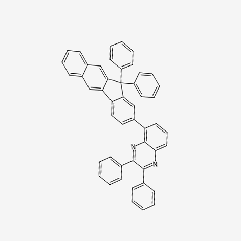 c1ccc(-c2nc3cccc(-c4ccc5c(c4)C(c4ccccc4)(c4ccccc4)c4cc6ccccc6cc4-5)c3nc2-c2ccccc2)cc1